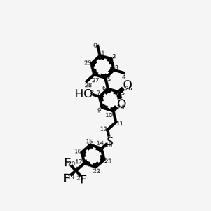 Cc1cc(C)c(-c2c(O)cc(CCSc3ccc(C(F)(F)F)cc3)oc2=O)c(C)c1